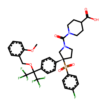 COc1ccccc1COC(c1ccc([C@]2(S(=O)(=O)c3ccc(F)cc3)CCN(C(=O)N3CCC(C(=O)O)CC3)C2)cc1)(C(F)(F)F)C(F)(F)F